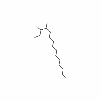 CCCCCCCCCCCC(C)[C](C)CC